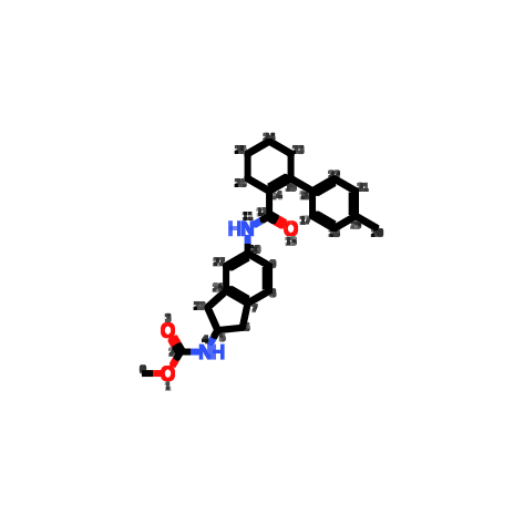 COC(=O)NC1Cc2ccc(NC(=O)C3=C(c4ccc(C)cc4)CCCC3)cc2C1